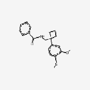 COc1ccc(C2(CNC(=O)c3ccccc3)CCC2)cc1OC